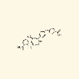 C=C1/C=C(/c2ccc(CN3CCC(C(=O)O)CC3)cc2)N/N=C\N=C/1c1cccc(NO)c1C